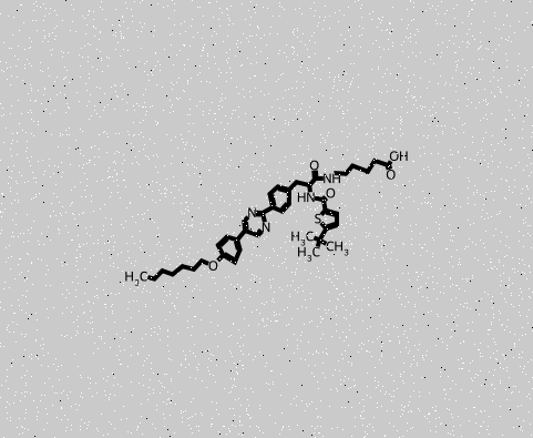 CCCCCCCOc1ccc(-c2cnc(-c3ccc(CC(NC(=O)c4ccc(C(C)(C)C)s4)C(=O)NCCCCCC(=O)O)cc3)nc2)cc1